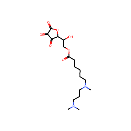 CN(C)CCCN(C)CCCCCC(=O)OCC(O)C1OC(=O)C(=O)C1=O